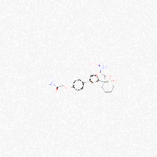 CNC(=O)COc1ccc(-c2ccc([C@@]3(CC(=O)NO)CCCCS3(=O)=O)s2)cc1